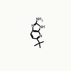 CC(C)(C)c1ccc2nc(N)[nH]c2n1